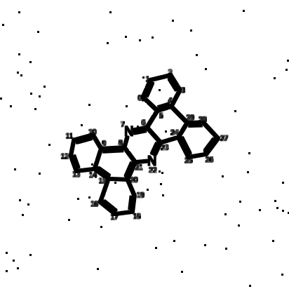 [c]1cccc2c1c1nc3c4ccccc4c4ccccc4c3nc1c1ccccc21